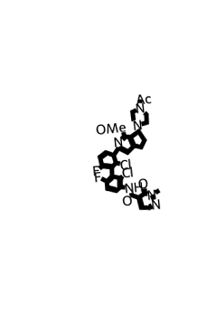 COc1nc(C2C=CC(F)=C(c3c(F)ccc(NC(=O)c4ccnn(C)c4=O)c3Cl)C2Cl)cc2c1[C@@H](N1CCN(C(C)=O)CC1)CC2